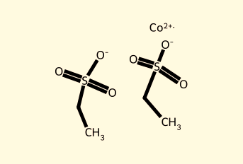 CCS(=O)(=O)[O-].CCS(=O)(=O)[O-].[Co+2]